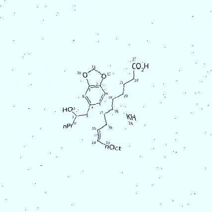 CCCC(O)Cc1ccc2c(c1)OCO2.CCCCCCCC/C=C\CCCCCCCC(=O)O.[KH]